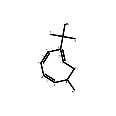 CC1\C=C/C=C\C(C(C)(C)C)=C\C1